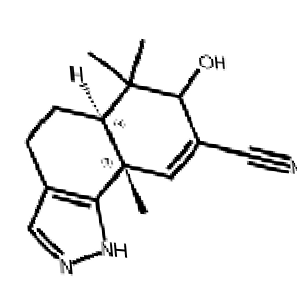 CC1(C)C(O)C(C#N)=C[C@]2(C)c3[nH]ncc3CC[C@@H]12